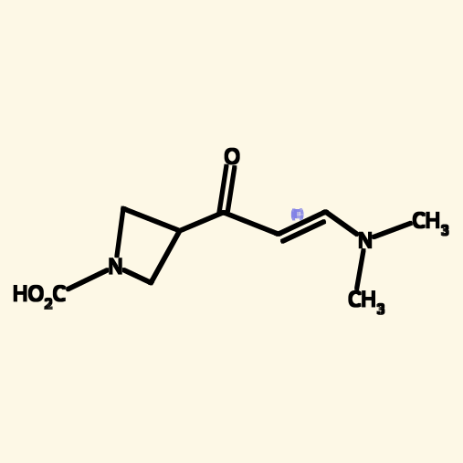 CN(C)/C=C/C(=O)C1CN(C(=O)O)C1